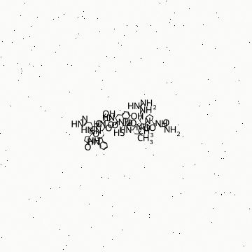 CC(C)C[C@H](NC(=O)[C@@H](CS)NC(=O)[C@H](Cc1ccc(O)cc1)NC(=O)[C@H](CO)NC(=O)[C@H](Cc1c[nH]c2ccccc12)NC(=O)[C@H](Cc1c[nH]cn1)NC(=O)[C@@H]1CCC(=O)N1)C(=O)N[C@@H](CCCNC(=N)N)C(=O)N1CCC[C@H]1C(=O)NCC(N)=O